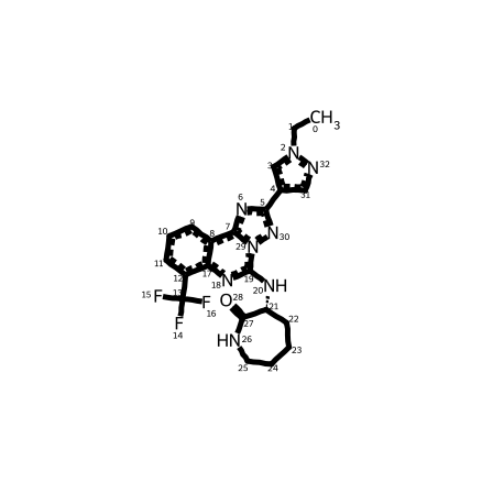 CCn1cc(-c2nc3c4cccc(C(F)(F)F)c4nc(N[C@@H]4CCCCNC4=O)n3n2)cn1